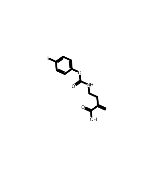 C=C(CCNC(=O)Oc1ccc(I)cc1)C(=O)O